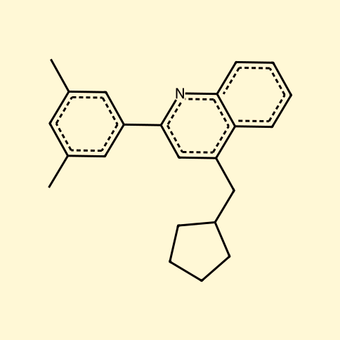 Cc1cc(C)cc(-c2cc(CC3CCCC3)c3ccccc3n2)c1